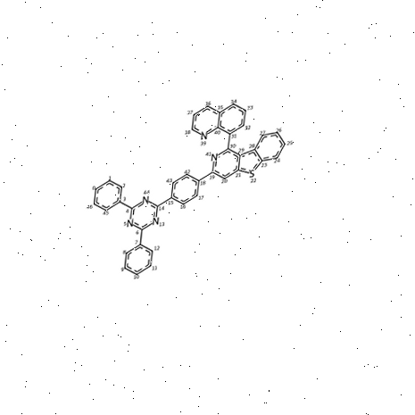 c1ccc(-c2nc(-c3ccccc3)nc(-c3ccc(-c4cc5sc6ccccc6c5c(-c5cccc6cccnc56)n4)cc3)n2)cc1